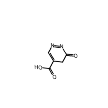 O=C1CC(C(=O)O)=CN=N1